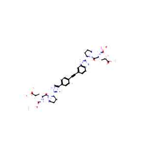 COC(=O)N[C@@H](CCC(=O)O)C(=O)N1CCC[C@H]1c1ncc(-c2ccc(C#Cc3ccc4nc([C@@H]5CCCN5C(=O)[C@H](CCC(=O)O)NC(=O)OC)[nH]c4c3)cc2)[nH]1